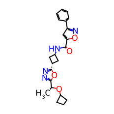 CC(OC1CCC1)c1nnc([C@H]2C[C@H](NC(=O)c3cc(-c4ccccc4)no3)C2)o1